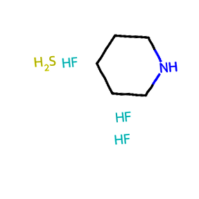 C1CCNCC1.F.F.F.S